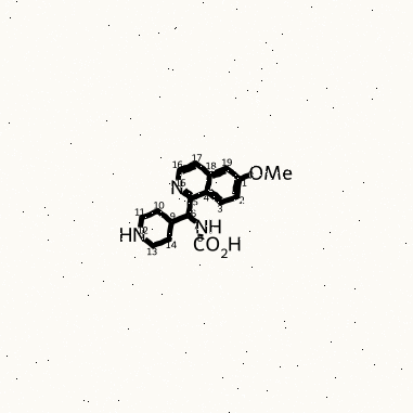 COc1ccc2c(C(NC(=O)O)C3CCNCC3)nccc2c1